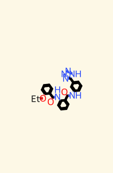 CCOc1ccccc1C(=O)Nc1ccccc1C(=O)Nc1cccc(-c2nnn[nH]2)c1